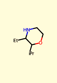 CCC1NCCOC1C(C)C